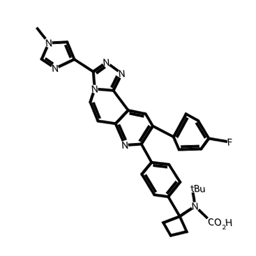 Cn1cnc(-c2nnc3c4cc(-c5ccc(F)cc5)c(-c5ccc(C6(N(C(=O)O)C(C)(C)C)CCC6)cc5)nc4ccn23)c1